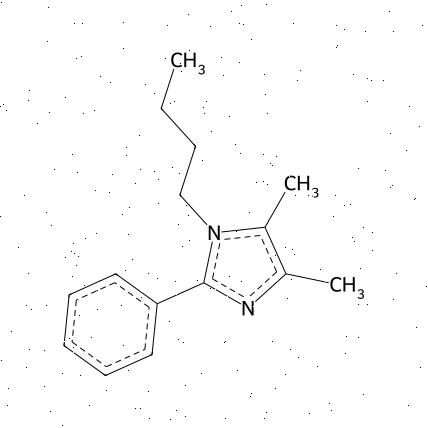 CCCCn1c(-c2ccccc2)nc(C)c1C